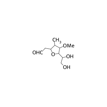 COC1C(C)C(CC=O)OC1C(O)CO